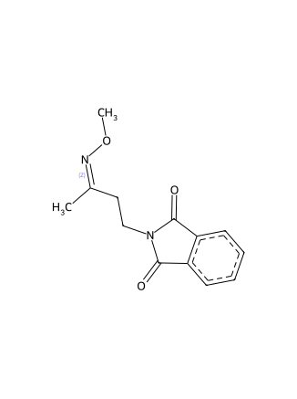 CO/N=C(/C)CCN1C(=O)c2ccccc2C1=O